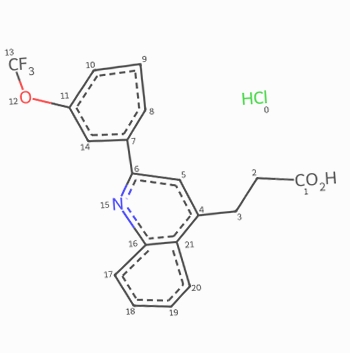 Cl.O=C(O)CCc1cc(-c2cccc(OC(F)(F)F)c2)nc2ccccc12